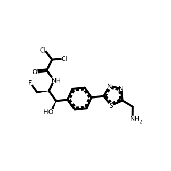 NCc1nnc(-c2ccc([C@@H](O)[C@@H](CF)NC(=O)C(Cl)Cl)cc2)s1